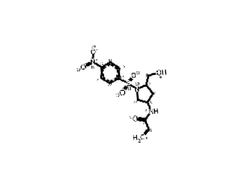 C=CC(=O)NC1CC(CO)N(S(=O)(=O)c2ccc([N+](=O)[O-])cc2)C1